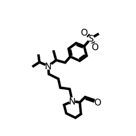 CC(C)N(CCCCN1CCCCC1C=O)C(C)Cc1ccc(S(C)(=O)=O)cc1